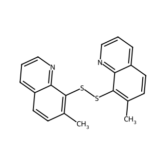 Cc1ccc2cccnc2c1SSc1c(C)ccc2cccnc12